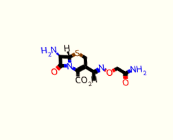 CC(=NOCC(N)=O)C1=C(C(=O)O)N2C(=O)[C@@H](N)[C@@H]2SC1